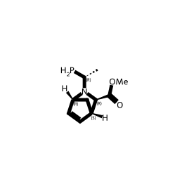 COC(=O)[C@H]1[C@@H]2C=C[C@@H](C2)N1[C@@H](C)P